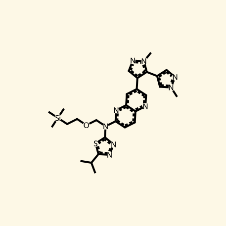 CC(C)c1nnc(N(COCC[Si](C)(C)C)c2ccc3ncc(-c4cnn(C)c4-c4cnn(C)c4)cc3n2)s1